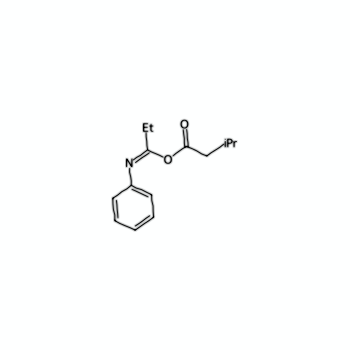 CCC(=Nc1ccccc1)OC(=O)CC(C)C